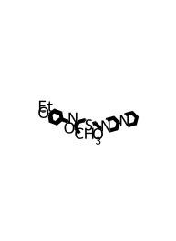 CCOc1ccc(-c2nc(CSCC(=O)N3CCC(N4CCCCC4)CC3)c(C)o2)cc1